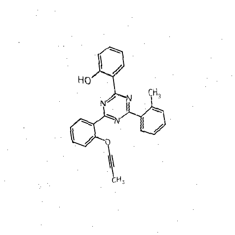 CC#COc1ccccc1-c1nc(-c2ccccc2C)nc(-c2ccccc2O)n1